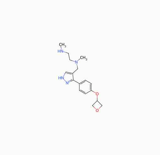 CNCCN(C)Cc1c[nH]nc1-c1ccc(OC2COC2)cc1